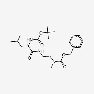 CC(C)C[C@H](NC(=O)OC(C)(C)C)C(=O)NCCN(C)C(=O)OCc1ccccc1